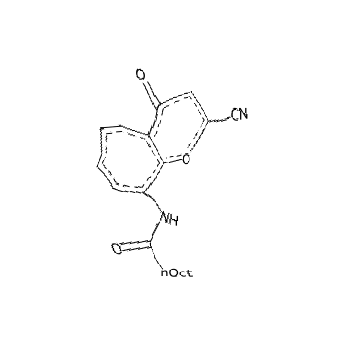 CCCCCCCCC(=O)Nc1cccc2c(=O)cc(C#N)oc12